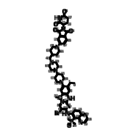 CCc1cc(Nc2ncc(Br)c(Nc3ccc4nccnc4c3P(C)(C)=O)n2)c(OC)cc1N1CCC(N2CCN(CC3CCN(c4ccc5c(c4)C(=O)N(C4CCC(=O)NC4=O)C5=O)CC3)CC2)CC1